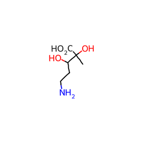 CC(O)(C(=O)O)C(O)CCN